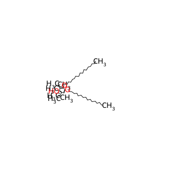 CCCCCCCCCCCCCCCCOc1cc(C(C)(C)C)c(O)c(C(C)(C)C)c1OCCCCCCCCCCCCCCCC